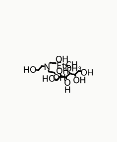 CCC.OCC(O)C(O)C(O)C(O)CO.OCCN(CCO)CCO